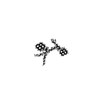 COCCOCCOC(CSCCS)C(OCCOCCOC(CSCCS)CC(=O)NC1CC=c2ccc3cccc4ccc1c2c43)C(=O)Nc1ccc2ccc3cccc4ccc1c2c34